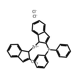 CC1=Cc2ccccc2[CH]1[Zr+2][CH]1C(P(c2ccccc2)c2ccccc2)=Cc2ccccc21.[Cl-].[Cl-]